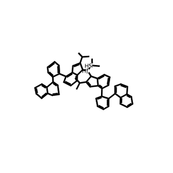 CC(C)C1=Cc2c(-c3ccccc3-c3cccc4ccccc34)cccc2[CH]1[Hf]([CH]1C(C(C)C)=Cc2c(-c3ccccc3-c3cccc4ccccc34)cccc21)[SiH](C)C